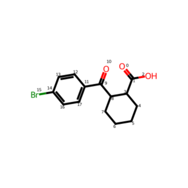 O=C(O)C1CCCCC1C(=O)c1ccc(Br)cc1